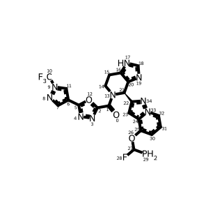 O=C(c1nnc(-c2cnn(C(F)(F)F)c2)o1)N1CCc2[nH]cnc2[C@H]1c1cc2c(OC(F)P)cccn2n1